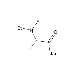 CCN(CC)C(C)C(=O)C(C)(C)C